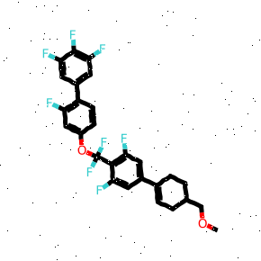 COCC1CC=C(c2cc(F)c(C(F)(F)Oc3ccc(-c4cc(F)c(F)c(F)c4)c(F)c3)c(F)c2)CC1